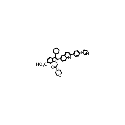 O=C(O)c1ccc2c(C3CCCCC3)c(-c3ccc4nc(-c5ccc(-n6ccnc6)cc5)ccc4c3)n(CC(=O)N3CCOCC3)c2c1